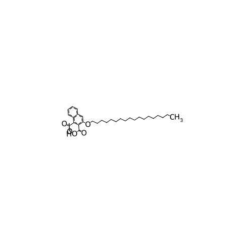 CCCCCCCCCCCCCCCCCCOc1cc2ccccc2c(I(=O)=O)c1C(=O)O